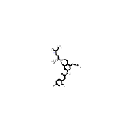 C=C/C(F)=C\C=C(/C)N1CCc2c(cc(NC(=O)Cc3ccc(F)cc3Cl)cc2SN)C1